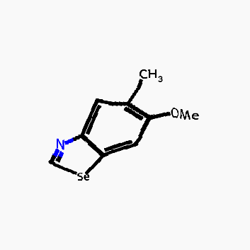 COc1cc2[se]cnc2cc1C